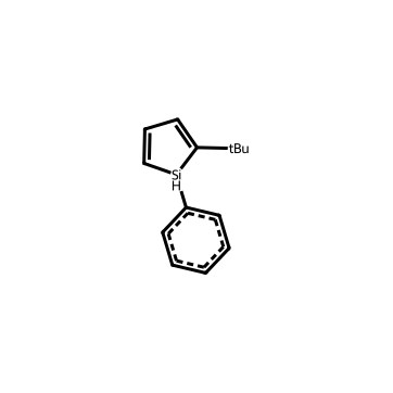 CC(C)(C)C1=CC=C[SiH]1c1ccccc1